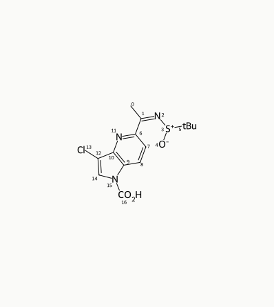 C/C(=N/[S+]([O-])C(C)(C)C)c1ccc2c(n1)c(Cl)cn2C(=O)O